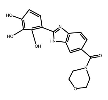 O=C(c1ccc2nc(-c3ccc(O)c(O)c3O)[nH]c2c1)N1CCOCC1